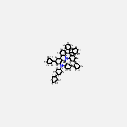 c1ccc(-c2ccc(N3c4ccc(-c5ccccc5)cc4B4c5c(cc(-c6ccccc6)cc53)-c3cccc5c3N4c3ccccc3C5(c3ccccc3)c3ccccc3)cc2)cc1